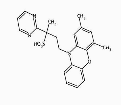 Cc1cc(C)c2c(c1)N(CCC(C)(c1ncccn1)S(=O)(=O)O)c1ccccc1O2